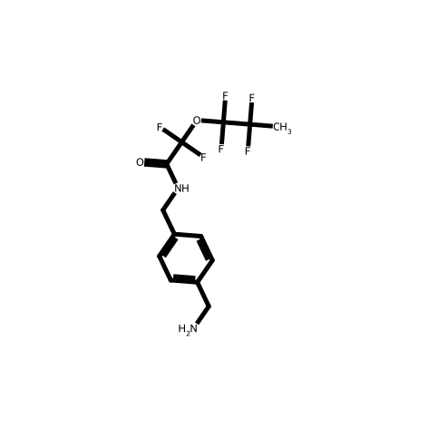 CC(F)(F)C(F)(F)OC(F)(F)C(=O)NCc1ccc(CN)cc1